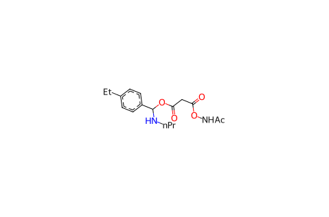 CCCNC(OC(=O)CC(=O)ONC(C)=O)c1ccc(CC)cc1